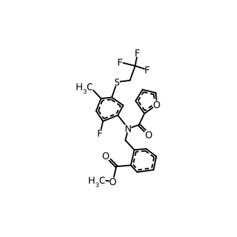 COC(=O)c1ccccc1CN(C(=O)c1ccco1)c1cc(SCC(F)(F)F)c(C)cc1F